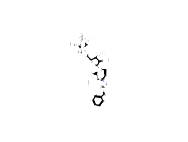 Cn1c(=O)n(C2OC(COP(=O)(O)CP(=O)(O)O)C(O)C2O)cc/c1=N/OCc1ccccc1